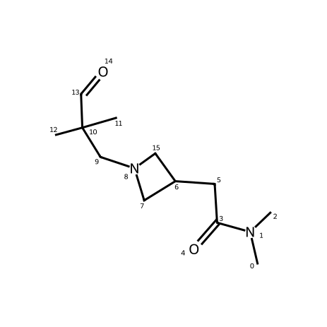 CN(C)C(=O)CC1CN(CC(C)(C)C=O)C1